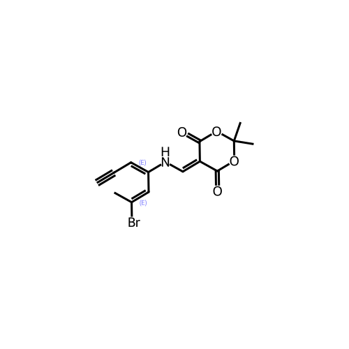 C#C/C=C(\C=C(/C)Br)NC=C1C(=O)OC(C)(C)OC1=O